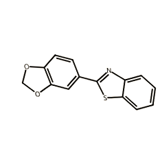 c1ccc2sc(-c3ccc4c(c3)OCO4)nc2c1